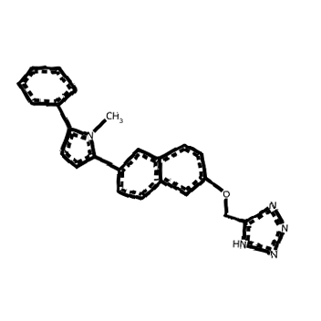 Cn1c(-c2ccccc2)ccc1-c1ccc2cc(OCc3nnn[nH]3)ccc2c1